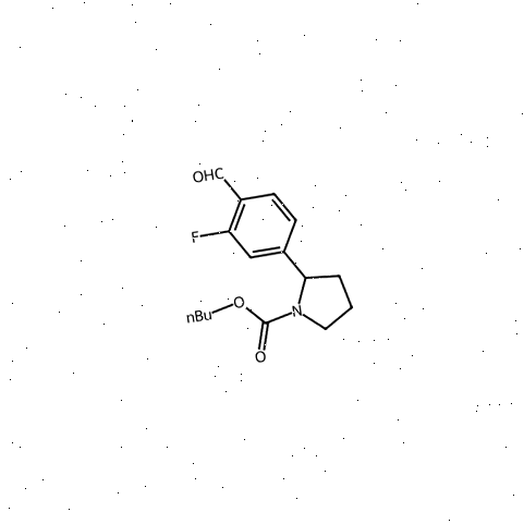 CCCCOC(=O)N1CCCC1c1ccc(C=O)c(F)c1